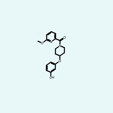 COc1cccc(C(=O)N2CCC(Oc3cccc(O)c3)CC2)n1